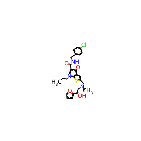 CCCn1cc(C(=O)NCc2ccc(Cl)cc2)c(=O)c2cc(CN(C)C[C@@H](O)c3ccco3)sc21